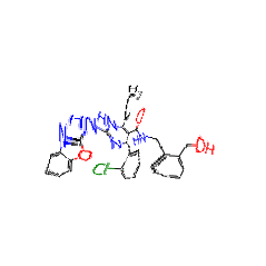 CC1=C(C(=O)NCc2ccccc2CO)C(c2ccccc2Cl)N=C(Nc2nc3ccccc3o2)N1